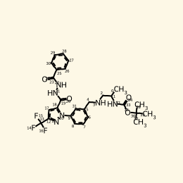 CC(CNCc1cccc(-n2nc(C(F)(F)F)cc2C(=O)NNC(=O)c2ccccc2)c1)NC(=O)OC(C)(C)C